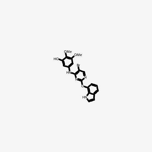 COc1cc(Nc2nc(Oc3cccc4cc[nH]c34)ncc2Br)cc(O)c1OC